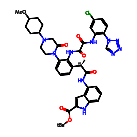 COC1CCC(N2CCN(c3cccc([C@H](C)C(=O)Nc4cccc5[nH]c(C(=O)OC(C)(C)C)cc45)c3NC(=O)C(=O)Nc3cc(Cl)ccc3-n3cnnn3)C(=O)C2)CC1